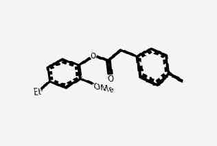 CCc1ccc(OC(=O)Cc2ccc(C)cc2)c(OC)c1